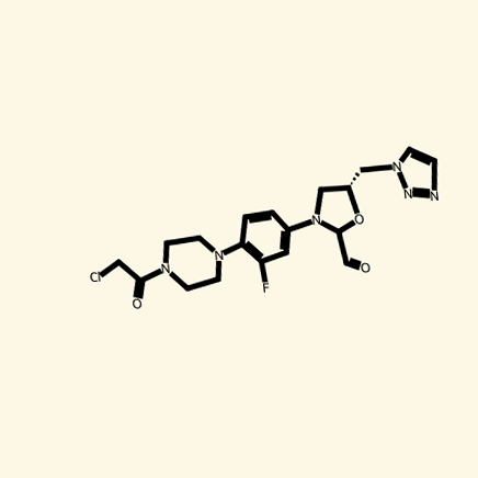 O=CC1O[C@@H](Cn2ccnn2)CN1c1ccc(N2CCN(C(=O)CCl)CC2)c(F)c1